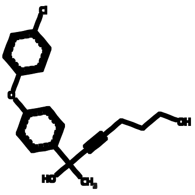 CC(O)(C#CCCCO)c1ccc(Oc2ccc(Cl)cc2)cc1